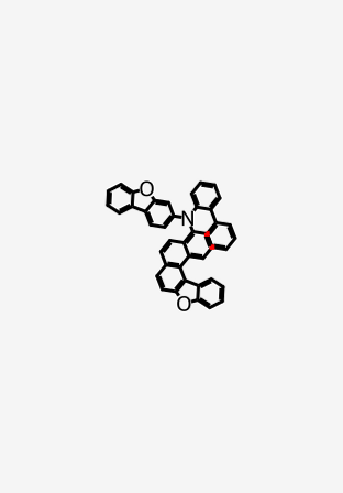 c1ccc(-c2ccccc2N(c2ccc3c(c2)oc2ccccc23)c2cccc3c2ccc2ccc4oc5ccccc5c4c23)cc1